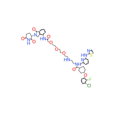 O=C1CCC(N2Cc3c(NC(=O)COCCOCCOCCNCCNC(=O)[C@]4(Cc5cccc(Nc6nccs6)n5)CC[C@@H](Oc5cccc(Cl)c5F)CC4)cccc3C2=O)C(=O)N1